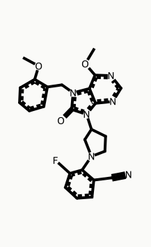 COc1ccccc1Cn1c(=O)n(C2CCN(c3c(F)cccc3C#N)C2)c2ncnc(OC)c21